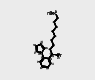 CCCCCCCCCCCCCCCCCC[C@H](c1ccccc1-n1ccnc1)C(C)C